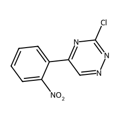 O=[N+]([O-])c1ccccc1-c1cnnc(Cl)n1